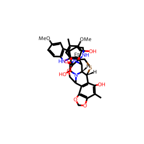 CCN1CC2(O)Cc3cc(C)c(OC)c(O)c3C1[C@@H]1[C@@H]3SC[C@]4(NCCc5c4[nH]c4ccc(OC)cc54)C(=O)OCC(c4c5c(c(C)c(O)c43)OCO5)N12